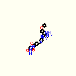 Nc1ncnc2c1c(-c1ccc(Oc3ccccc3)cc1)nn2C1CCN(Cc2ccc3c(c2)CN(N2CCC(=O)NC2=O)C3=O)CC1